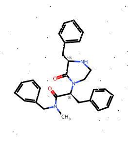 CN(Cc1ccccc1)C(=O)[C@H](Cc1ccccc1)N1CCN[C@H](Cc2ccccc2)C1=O